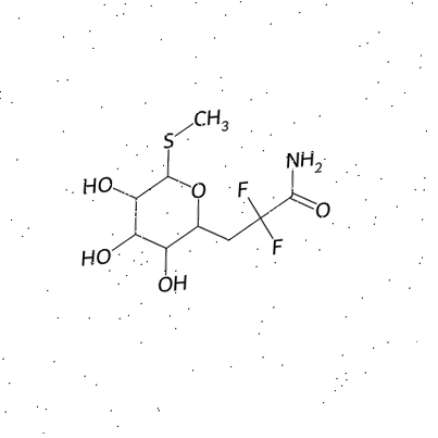 CSC1OC(CC(F)(F)C(N)=O)C(O)C(O)C1O